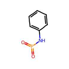 O=P(=O)Nc1ccccc1